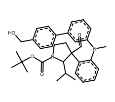 CC(C)C1N(C(=O)OC(C)(C)C)CCC1(C=O)c1ccccc1N(C)c1cccc(-c2ccc(CO)cc2)c1